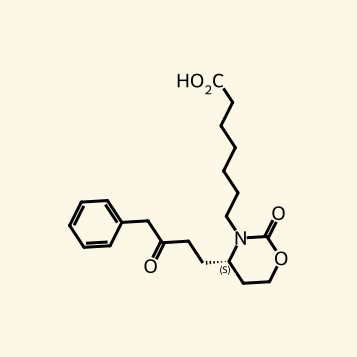 O=C(O)CCCCCCN1C(=O)OCC[C@@H]1CCC(=O)Cc1ccccc1